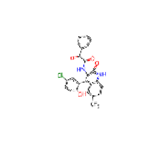 O=C(Nc1c(-c2cc(Cl)ccc2O)c2cc(C(F)(F)F)ccc2[nH]c1=O)C(=O)c1ccccc1